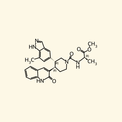 COC(=O)[C@@H](C)NC(=O)N1CC[C@@H](c2cc3ccccc3[nH]c2=O)[C@H](c2cc(C)c3[nH]ncc3c2)C1